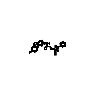 O=C(CSc1nc(-c2ccccc2)n[nH]1)Nc1ccc2oc3cc(F)ccc3c2c1